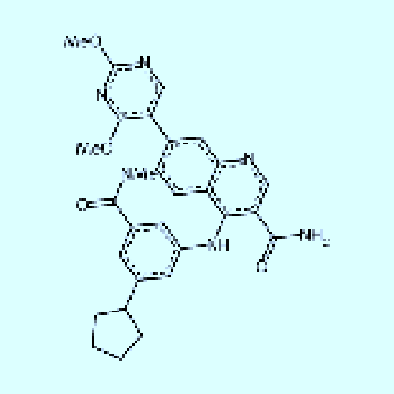 CNC(=O)c1cc(Nc2c(C(N)=O)cnc3cc(-c4cnc(OC)nc4OC)ccc23)cc(C2CCCC2)c1